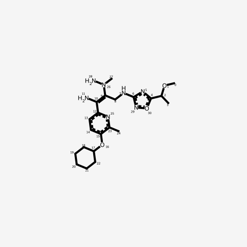 COC(C)c1nc(NC/C(=C(/N)c2ccc(OC3CCCCC3)c(C)n2)N(C)N)no1